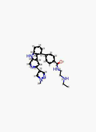 CCNCCNC(=O)c1ccc(-c2cccc3[nH]c4cnc(-c5cnn(C)c5)cc4c23)cc1